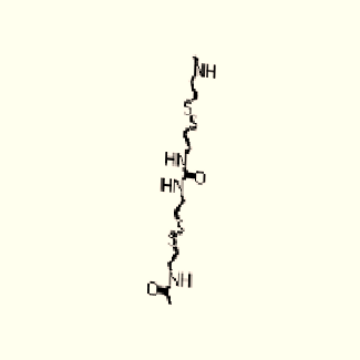 CNCCSSCCNC(=O)NCCSSCCNC(C)=O